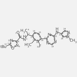 Cc1c(C(C)NC(=O)c2noc(C(C)(C)C)n2)ccc(-c2ncnc(Nc3cnn(C)c3)n2)c1F